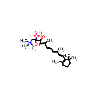 CC1=C(/C=C/C(C)=C/C=C/C(C)=C/C(=O)C(O)(C[N+](C)(C)C)P(=O)(O)O)C(C)(C)CCC1